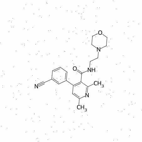 Cc1cc(-c2cccc(C#N)c2)c(C(=O)NCCN2CCOCC2)c(C)n1